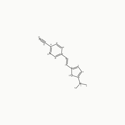 CN(C)c1ccc(/C=C/c2ccc(C#N)nc2)o1